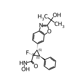 CC(C)(O)c1nc2ccc([C@@H]3[C@@H](c4ccccc4)[C@@]3(F)C(=O)NO)cc2o1